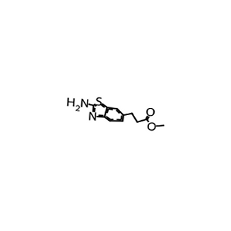 COC(=O)CCc1ccc2nc(N)sc2c1